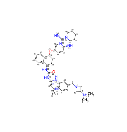 CN(C)C1CN(Cc2cccc(N/C(=C\C(=N)C(C)(C)C)NC(=O)NC3CCC(Oc4ccc(=N)n(C(=N)N5CCCCC5)c4)c4ccccc43)c2)C1